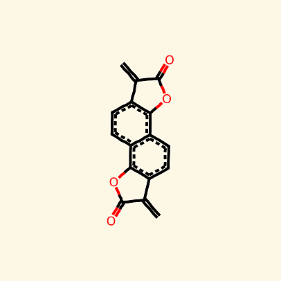 C=C1C(=O)Oc2c1ccc1c3c(ccc21)C(=C)C(=O)O3